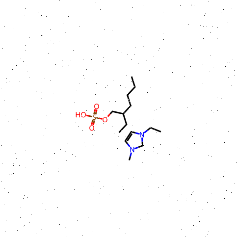 CCCCC(CC)COS(=O)(=O)O.CCN1C=CN(C)C1